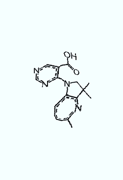 Cc1ccc2c(n1)C(C)(C)CN2c1ncncc1C(=O)O